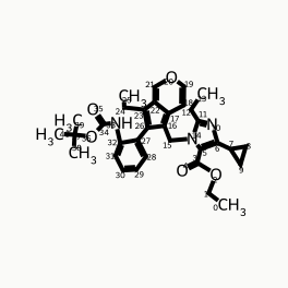 CCOC(=O)c1c(C2CC2)nc(CC)n1Cc1c2ccocc-2c(CC)c1-c1ccccc1NC(=O)OC(C)(C)C